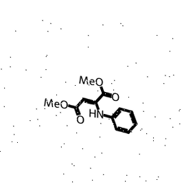 COC(=O)/C=C(\Nc1ccccc1)C(=O)OC